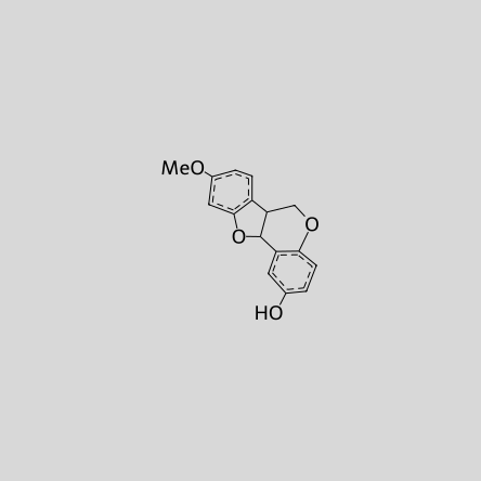 COc1ccc2c(c1)OC1c3cc(O)ccc3OCC21